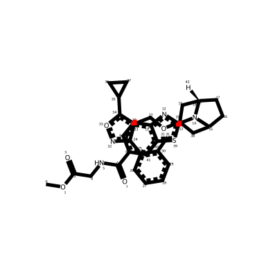 COC(=O)CNC(=O)c1ccc2nc(N3C4CC[C@H]3CC(OCc3c(-c5ccccc5C)noc3C3CC3)C4)sc2c1